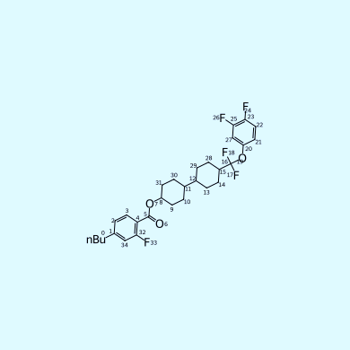 CCCCc1ccc(C(=O)OC2CCC(C3CCC(C(F)(F)Oc4ccc(F)c(F)c4)CC3)CC2)c(F)c1